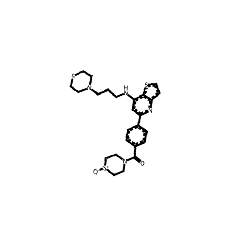 O=C(c1ccc(-c2cc(NCCCN3CCSCC3)c3sccc3n2)cc1)N1CC[S+]([O-])CC1